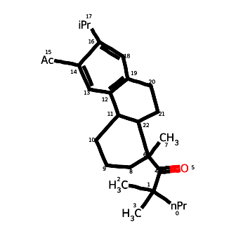 CCCC(C)(C)C(=O)C1(C)CCCC2c3cc(C(C)=O)c(C(C)C)cc3CCC21